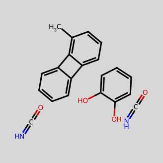 Cc1cccc2c1-c1ccccc1-2.N=C=O.N=C=O.Oc1ccccc1O